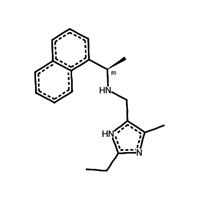 CCc1nc(C)c(CN[C@H](C)c2cccc3ccccc23)[nH]1